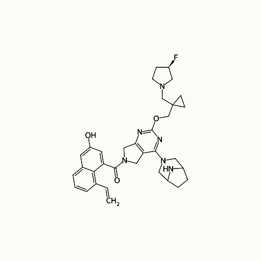 C=Cc1cccc2cc(O)cc(C(=O)N3Cc4nc(OCC5(CN6CC[C@@H](F)C6)CC5)nc(N5CC6CCC(C5)N6)c4C3)c12